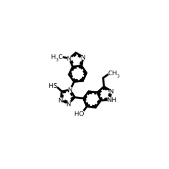 CCc1n[nH]c2cc(O)c(-c3nnc(S)n3-c3ccc4ncn(C)c4c3)cc12